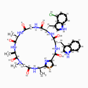 C=C1NC(=O)[C@@H](C)NC(=O)CNC(=O)[C@H](Cc2c[nH]c3cccc(Cl)c23)NC(=O)[C@H](Cc2c[nH]c3ccccc23)NC(=O)c2csc(n2)[C@@H](C)NC(=O)CN(C)C1=O